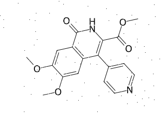 COC(=O)c1[nH]c(=O)c2cc(OC)c(OC)cc2c1-c1ccncc1